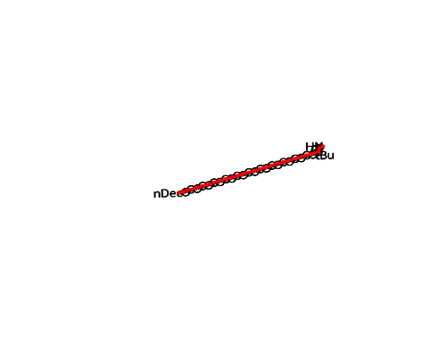 CCCCCCCCCCCCOCCOCCOCCOCCOCCOCCOCCOCCOCCOCCOCCOCCOCCOCCOCCOCCOCCOCCOCCOCCOCCOCCOCC(OC(=O)C1CCCN1)C(C)(C)C